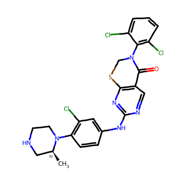 C[C@H]1CNCCN1c1ccc(Nc2ncc3c(n2)SCN(c2c(Cl)cccc2Cl)C3=O)cc1Cl